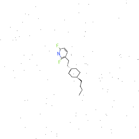 CCCC[C@H]1CC[C@H](CCc2ccc(F)nc2F)CC1